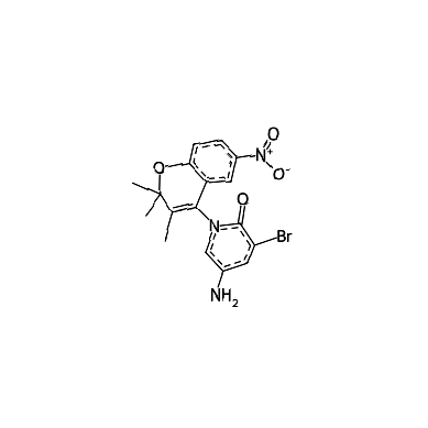 CC1=C(n2cc(N)cc(Br)c2=O)c2cc([N+](=O)[O-])ccc2OC1(C)C